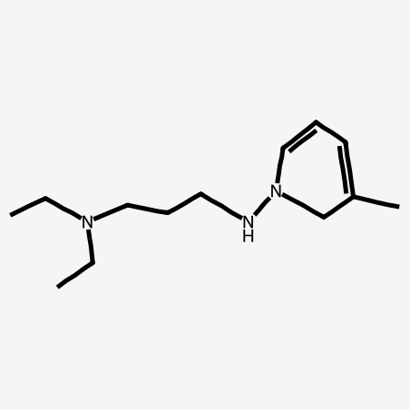 CCN(CC)CCCNN1C=CC=C(C)C1